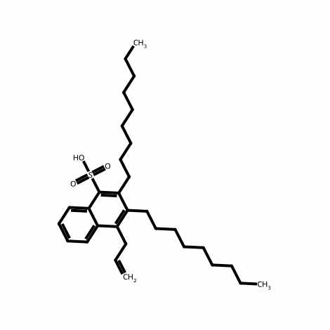 C=CCc1c(CCCCCCCCC)c(CCCCCCCCC)c(S(=O)(=O)O)c2ccccc12